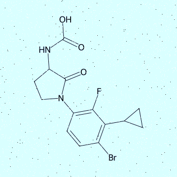 O=C(O)NC1CCN(c2ccc(Br)c(C3CC3)c2F)C1=O